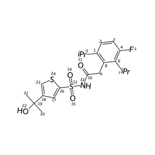 CC(C)c1ccc(F)c(C(C)C)c1CC(=O)NS(=O)(=O)c1cc(C(C)(C)O)cs1